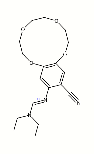 CCN(/C=N/c1cc2c(cc1C#N)OCCOCCOCCO2)CC